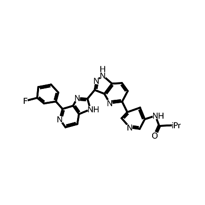 CC(C)C(=O)Nc1cncc(-c2ccc3[nH]nc(-c4nc5c(-c6cccc(F)c6)nccc5[nH]4)c3n2)c1